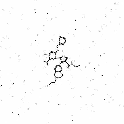 CCNC(=O)c1noc(-c2cc(C(C)C)c(C)cc2OCc2ccccc2)c1-c1ccc2c(c1)CCN(CCO)C2